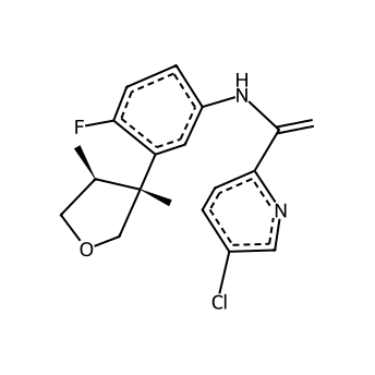 C=C(Nc1ccc(F)c([C@]2(C)COC[C@H]2C)c1)c1ccc(Cl)cn1